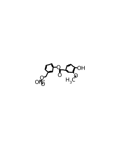 COc1cc(C(=O)Oc2cccc(CO[N+](=O)[O-])c2)ccc1O